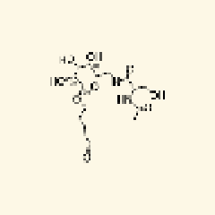 CC(=O)NC(CO)C(=O)NCC1O[C@@H](OCCCCC=O)[C@@H](O)C(O)[C@H]1O